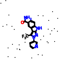 NC(=O)c1ccc2[nH]c3nn(-c4cccnc4)c(C(F)(F)F)c3c2c1